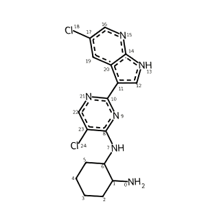 NC1CCCCC1Nc1nc(-c2c[nH]c3ncc(Cl)cc23)ncc1Cl